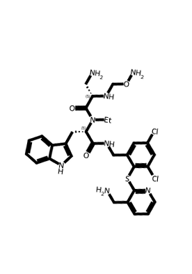 CCN(C(=O)[C@H](CN)NCON)[C@@H](Cc1c[nH]c2ccccc12)C(=O)NCc1cc(Cl)cc(Cl)c1Sc1ncccc1CN